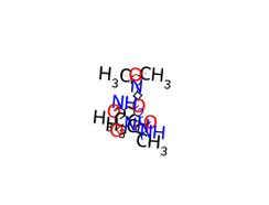 Cc1cc(C)c(Cc2c(O[C@H]3C[C@H](N4C[C@@H](C)O[C@@H](C)C4)C3)cc(C(N)=O)c(C)c2NC2CCOC2)c(=O)[nH]1